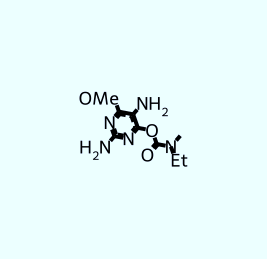 CCN(C)C(=O)Oc1nc(N)nc(OC)c1N